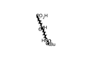 CC(C)(C)OC(=O)NCCCCCCCC(=O)NCCCCCCCC(=O)O